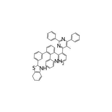 Cc1c(-c2ccccc2)nc(-c2ccccc2)nc1-c1ccccc1-c1cccc(-c2cccc(C3NC4=C(CCC=C4)S3)c2)c1-c1ccccc1N